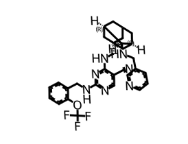 N#Cc1cnc(NCc2ccccc2OC(F)(F)F)nc1NC[C@@]12CC3C[C@H](C1)[C@@H](NCc1cccnc1)[C@@H](C3)C2